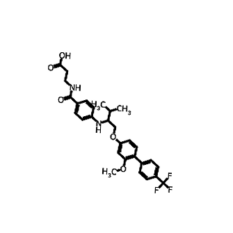 COc1cc(OCC(Nc2ccc(C(=O)NCCC(=O)O)cc2)C(C)C)ccc1-c1ccc(C(F)(F)F)cc1